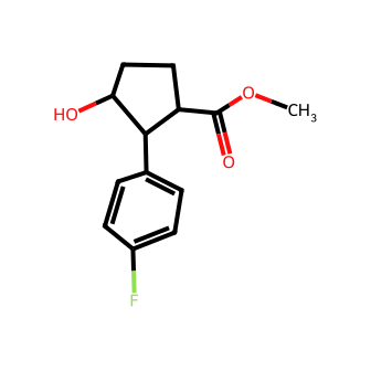 COC(=O)C1CCC(O)C1c1ccc(F)cc1